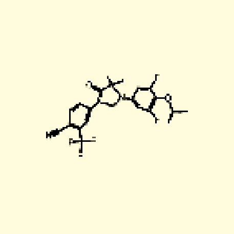 CC(C)Oc1c(F)cc(N2CN(c3ccc(C#N)c(C(F)(F)F)c3)C(=O)C2(C)C)cc1F